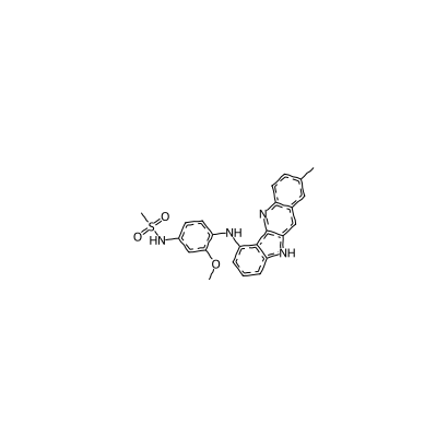 COc1cc(NS(C)(=O)=O)ccc1Nc1cccc2[nH]c3cc4cc(C)ccc4nc3c12